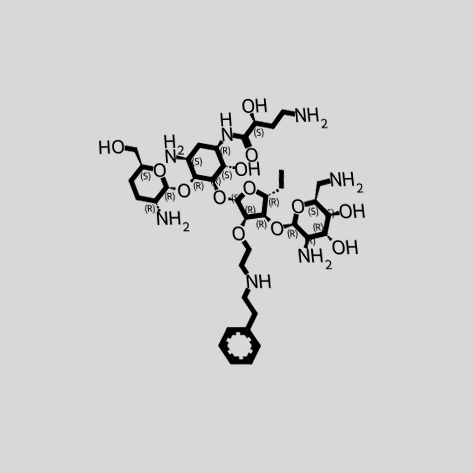 CC[C@H]1O[C@@H](O[C@@H]2[C@@H](O)[C@H](NC(=O)[C@@H](O)CCN)C[C@H](N)[C@H]2O[C@H]2O[C@H](CO)CC[C@H]2N)[C@H](OCCNCCc2ccccc2)[C@@H]1O[C@H]1O[C@@H](CN)[C@@H](O)[C@H](O)[C@H]1N